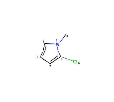 Cn1cccc1Cl